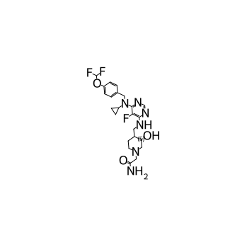 NC(=O)CN1CCC(CNc2ncnc(N(Cc3ccc(OC(F)F)cc3)C3CC3)c2F)[C@H](O)C1